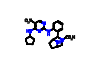 O=C(O)N1CC2CCC(N2)C1c1ccccc1Nc1ncc([N+](=O)[O-])c(NC2CCCC2)n1